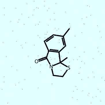 Cc1ccc2c(c1)C1(C)SCCN1C2=O